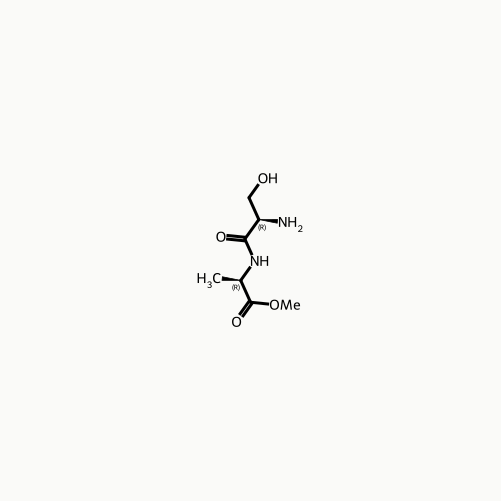 COC(=O)[C@@H](C)NC(=O)[C@H](N)CO